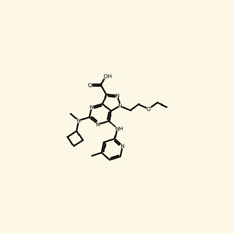 CCOCCn1nc(C(=O)O)c2nc(N(C)C3CCC3)nc(Nc3cc(C)ccn3)c21